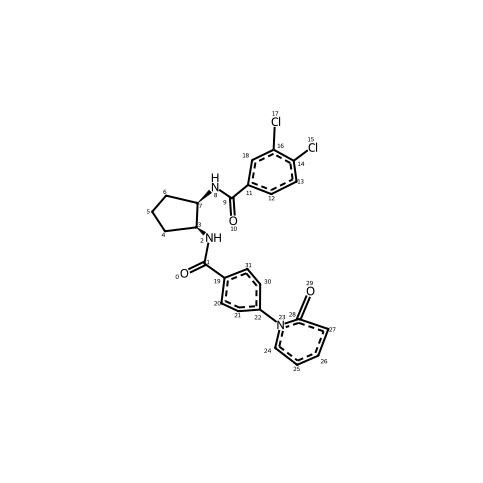 O=C(N[C@H]1CCC[C@H]1NC(=O)c1ccc(Cl)c(Cl)c1)c1ccc(-n2ccccc2=O)cc1